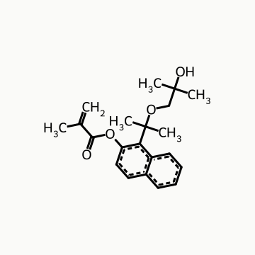 C=C(C)C(=O)Oc1ccc2ccccc2c1C(C)(C)OCC(C)(C)O